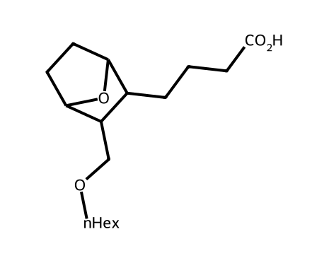 CCCCCCOCC1C2CCC(O2)C1CCCC(=O)O